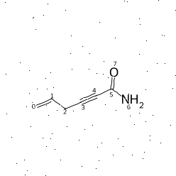 C=CCC#CC(N)=O